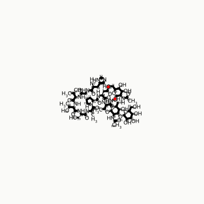 CNC(=O)[C@@H](NC(=O)[C@H](CC(=O)O)NC(=O)[C@@H]1CCCN1C(=O)[C@H](C)NC(=O)[C@H](CO)NC(=O)[C@@H](NC(=O)[C@@H](NC(=O)CNC(=O)[C@@H](N)Cc1cnc[nH]1)C(C)C)C(C)O)C(C)O[C@H]1OC(CO[C@@H]2OC(CO)[C@@H](O)C(O)C2NC(C)=O)[C@H](O)C(O[C@@H]2OC(CO)[C@H](O)C(O)C2O)C1NC(C)=O